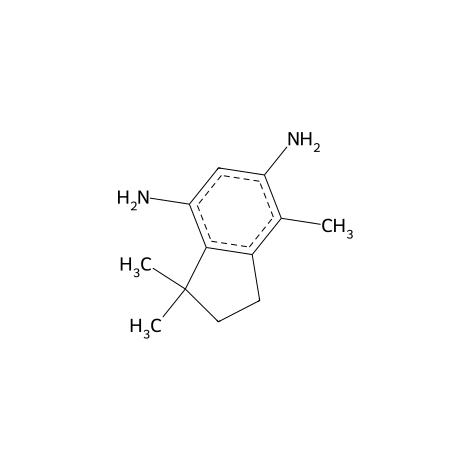 Cc1c(N)cc(N)c2c1CCC2(C)C